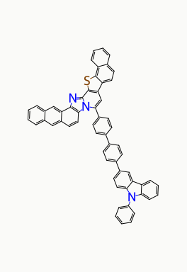 c1ccc(-n2c3ccccc3c3cc(-c4ccc(-c5ccc(-c6cc7c8ccc9ccccc9c8sc7c7nc8c9cc%10ccccc%10cc9ccc8n67)cc5)cc4)ccc32)cc1